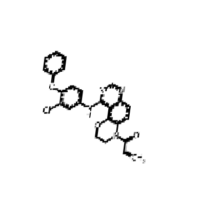 C=CC(=O)N1CCOc2c1ccc1ncnc(Nc3ccc(Oc4ccccc4)c(Cl)c3)c21